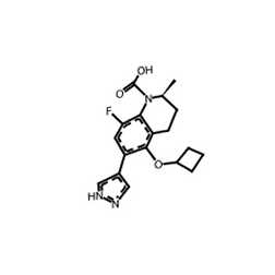 C[C@H]1CCc2c(OC3CCC3)c(-c3cn[nH]c3)cc(F)c2N1C(=O)O